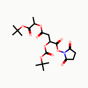 CC(OC(=O)CC(OC(=O)OC(C)(C)C)C(=O)ON1C(=O)CCC1=O)C(=O)OC(C)(C)C